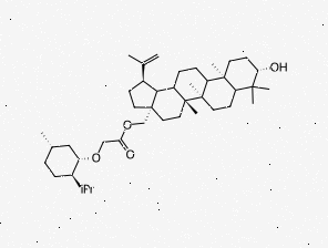 C=C(C)[C@@H]1CC[C@]2(COC(=O)CO[C@H]3C[C@@H](C)CC[C@@H]3C(C)C)CC[C@]3(C)C(CCC4[C@@]5(C)CC[C@H](O)C(C)(C)C5CC[C@]43C)C12